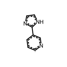 [c]1ccc(-c2ncc[nH]2)cn1